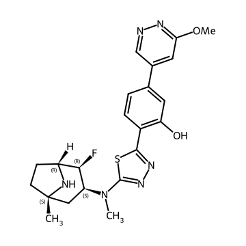 COc1cc(-c2ccc(-c3nnc(N(C)[C@H]4C[C@]5(C)CC[C@@H](N5)[C@H]4F)s3)c(O)c2)cnn1